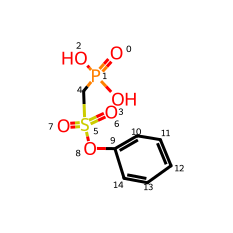 O=P(O)(O)CS(=O)(=O)Oc1ccccc1